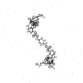 C=CCC1CC[C@]23c4c5ccc(OC(=O)OCC6CCC(COC(=O)Oc7ccc8c9c7O[C@H]7C(=O)CC[C@@]%10(OC)[C@@H](C8)C(C)C(CC=C)CC[C@]97%10)CC6)c4O[C@H]2C(=O)CC[C@@]3(OC)[C@@H](C5)C1C